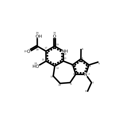 CCn1c(C)c(C)c2c1CCCc1c-2[nH]c(=O)c(C(=O)O)c1O